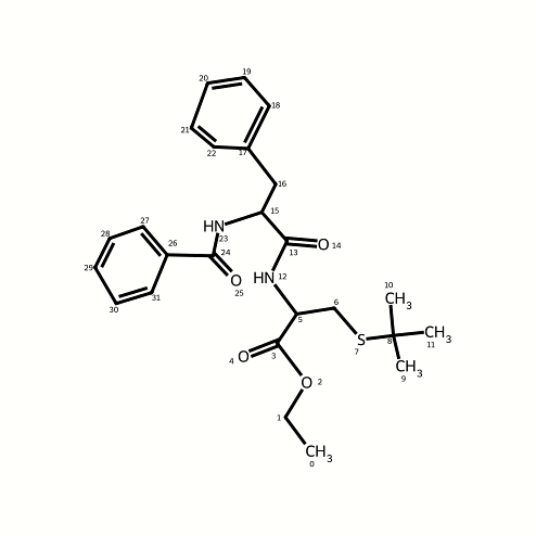 CCOC(=O)C(CSC(C)(C)C)NC(=O)C(Cc1ccccc1)NC(=O)c1ccccc1